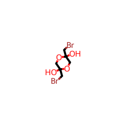 OC1(CBr)COC(O)(CBr)CO1